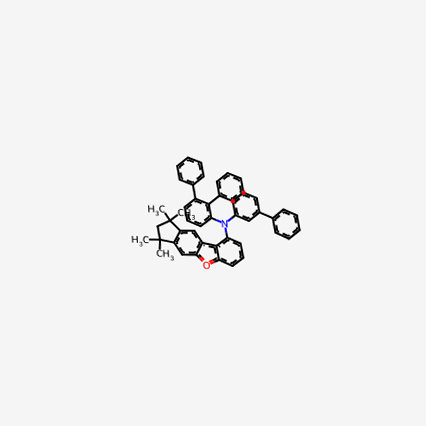 CC1(C)CC(C)(C)c2cc3c(cc21)oc1cccc(N(c2cccc(-c4ccccc4)c2)c2cccc(-c4ccccc4)c2-c2ccccc2)c13